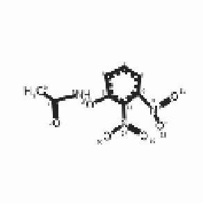 CC(=O)NOc1cccc([N+](=O)[O-])c1[N+](=O)[O-]